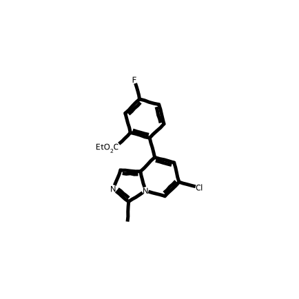 CCOC(=O)c1cc(F)ccc1-c1cc(Cl)cn2c(C)ncc12